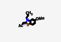 C=CCN1/C(=C/C(C)=O)Sc2ccc(OC)cc21